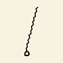 CCCCCCCCCCCCCCCCCCCCc1[c]cccc1